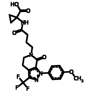 COc1ccc(-n2nc(C(F)(F)F)c3c2C(=O)N(CCCC(=O)NC2(C(=O)O)CC2)CC3)cc1